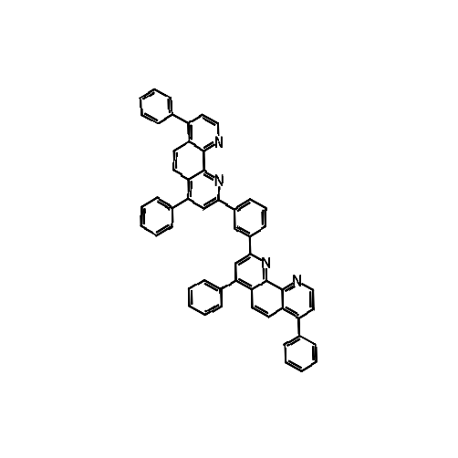 c1ccc(-c2ccnc3c2ccc2c(-c4ccccc4)cc(-c4cccc(-c5cc(-c6ccccc6)c6ccc7c(-c8ccccc8)ccnc7c6n5)c4)nc23)cc1